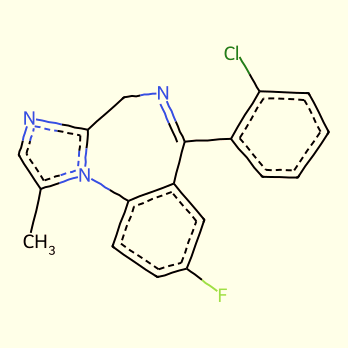 Cc1cnc2n1-c1ccc(F)cc1C(c1ccccc1Cl)=NC2